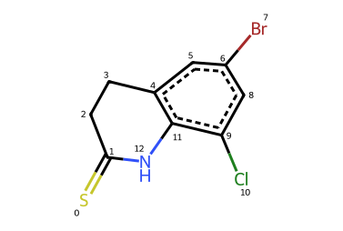 S=C1CCc2cc(Br)cc(Cl)c2N1